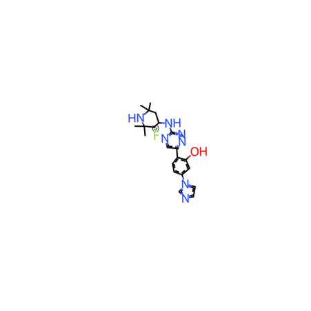 CC1(C)CC(Nc2ncc(-c3ccc(-n4ccnc4)cc3O)nn2)[C@H](F)C(C)(C)N1